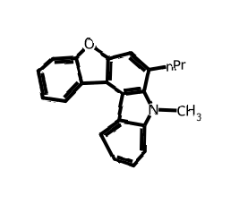 CCCc1cc2oc3ccccc3c2c2c3ccccc3n(C)c12